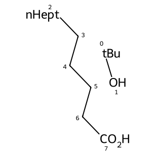 CC(C)(C)O.CCCCCCCCCCCC(=O)O